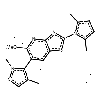 COc1nc2nc(-n3c(C)ccc3C)sc2cc1-c1c(C)cnn1C